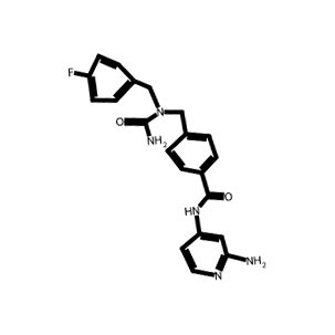 NC(=O)N(Cc1ccc(F)cc1)Cc1ccc(C(=O)Nc2ccnc(N)c2)cc1